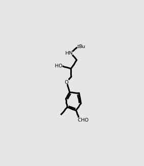 Cc1cc(OCC(O)CNC(C)(C)C)ccc1C=O